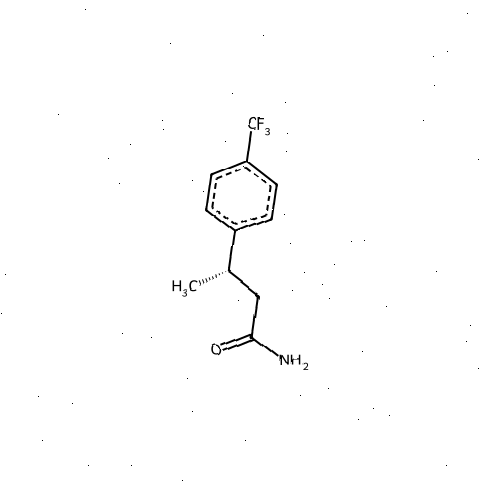 C[C@@H](CC(N)=O)c1ccc(C(F)(F)F)cc1